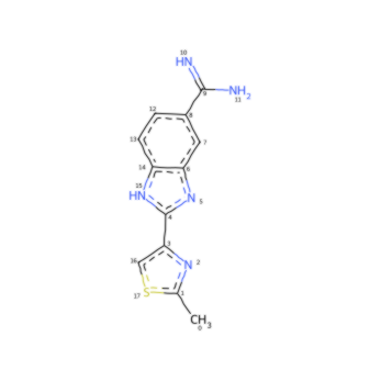 Cc1nc(-c2nc3cc(C(=N)N)ccc3[nH]2)cs1